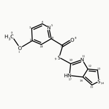 COc1ccnc(C(=O)Sc2nc3cscc3[nH]2)c1